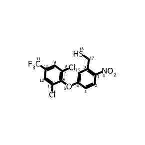 O=[N+]([O-])c1ccc(Oc2c(Cl)cc(C(F)(F)F)cc2Cl)cc1CS